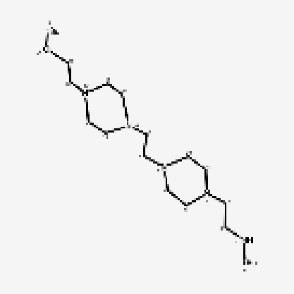 CC(C)(C)NCCN1CCN(CCN2CCN(CCOC(C)(C)C)CC2)CC1